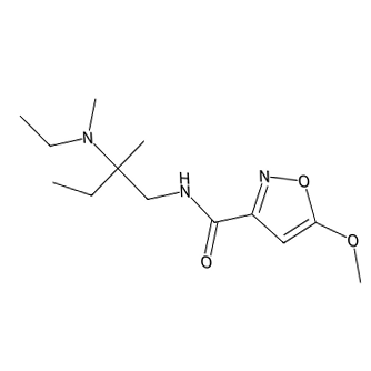 CCN(C)C(C)(CC)CNC(=O)c1cc(OC)on1